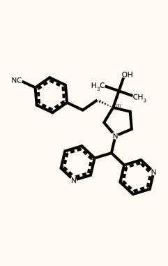 CC(C)(O)[C@@]1(CCc2ccc(C#N)cc2)CCN(C(c2cccnc2)c2cccnc2)C1